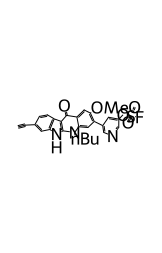 C#Cc1ccc2c(c1)[nH]c1c2c(=O)c2cc(OC)c(-c3cncc(OS(=O)(=O)F)c3)cc2n1CCCC